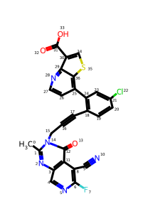 Cc1nc2cnc(F)c(C#N)c2c(=O)n1CC#Cc1ccc(Cl)cc1-c1ccnc2c(C(=O)O)csc12